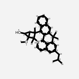 COC12C(O)C1C1(C)c3c4c(cc5ccccc35)C(C)(C)c3cc(CC(C)C)cc5cc[n+](c-4c35)C12C